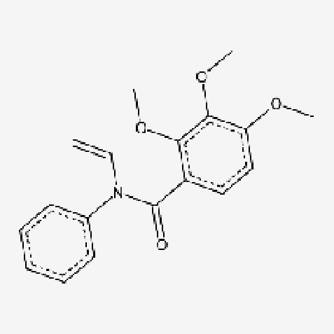 C=CN(C(=O)c1ccc(OC)c(OC)c1OC)c1ccccc1